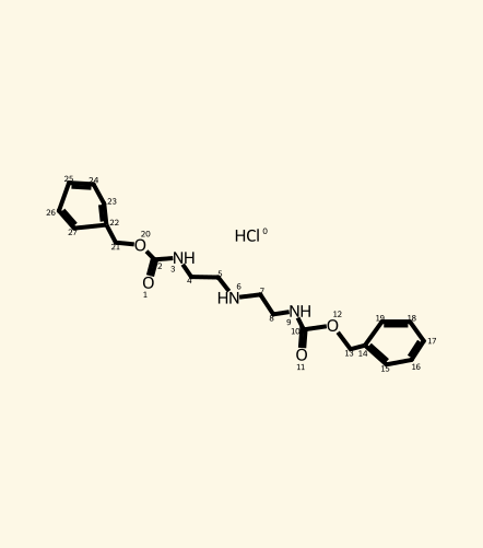 Cl.O=C(NCCNCCNC(=O)OCc1ccccc1)OCc1ccccc1